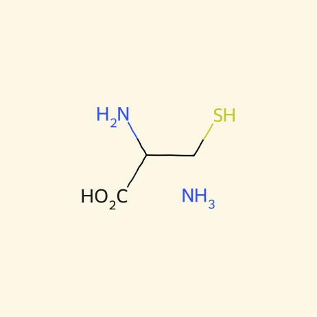 N.NC(CS)C(=O)O